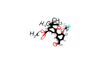 COC(=O)c1cc(-c2cc(C=O)ccc2OC(F)(F)F)c2c(c1)C(C)(C)CO2